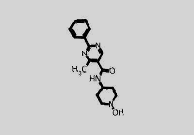 Cc1nc(-c2ccccc2)ncc1C(=O)NC1CCN(O)CC1